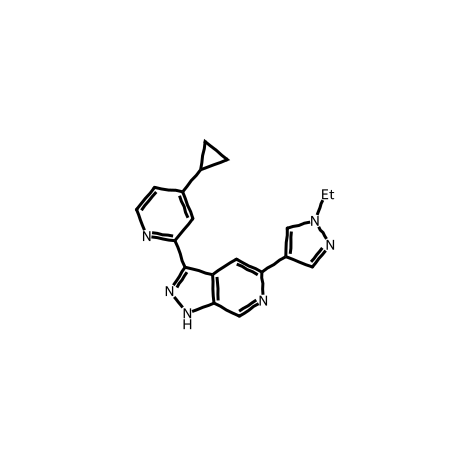 CCn1cc(-c2cc3c(-c4cc(C5CC5)ccn4)n[nH]c3cn2)cn1